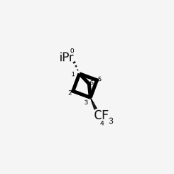 CC(C)[C@]12C[C@@](C(F)(F)F)(C1)C2